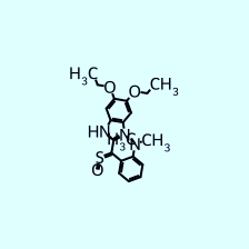 CCOc1cc2nc(C(=S=O)c3ccccc3N(C)C)[nH]c2cc1OCC